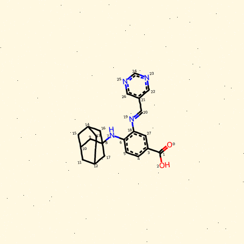 O=C(O)c1ccc(NC23CC4CC(CC(C4)C2)C3)c(N=Cc2cncnc2)c1